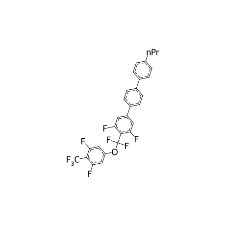 CCCc1ccc(-c2ccc(-c3cc(F)c(C(F)(F)Oc4cc(F)c(C(F)(F)F)c(F)c4)c(F)c3)cc2)cc1